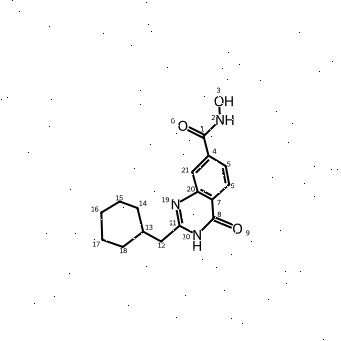 O=C(NO)c1ccc2c(=O)[nH]c(CC3CCCCC3)nc2c1